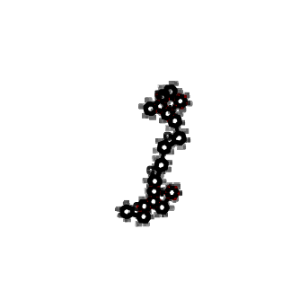 c1ccc(-c2ccccc2-c2c(-c3ccccc3)cccc2-c2ccccc2N(c2ccc(-c3cccc4c3oc3ccccc34)cc2)c2ccc3oc4cc(-c5ccc6oc7c(-c8ccc(N(c9ccccc9-c9cccc(-c%10ccccc%10)c9-c9ccccc9-c9ccccc9)c9cccc%10oc%11ccccc%11c9%10)cc8)cccc7c6c5)ccc4c3c2)cc1